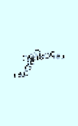 CCCCOc1ccc(OC2CCCCC2OS(=O)OC2CCCCC2Oc2ccc(OCCCC)cc2)cc1